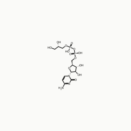 Nc1ccn([C@@H]2O[C@@H](CO[P@@](=O)(O)O[P@](=O)(O)OC[C@@H](O)CO)[C@H](O)[C@H]2O)c(=O)n1